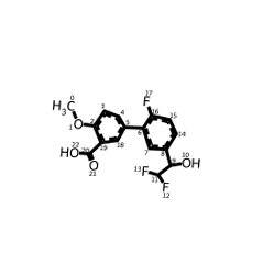 COc1ccc(-c2cc(C(O)C(F)F)ccc2F)cc1C(=O)O